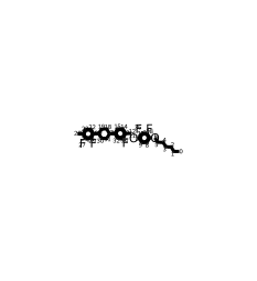 CCCCCCOc1ccc(OCc2ccc(C3CCC(c4ccc(C)c(F)c4F)CC3)cc2F)c(F)c1F